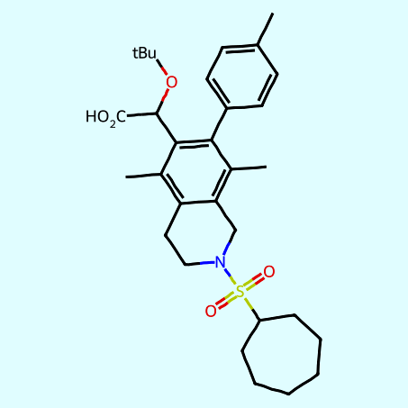 Cc1ccc(-c2c(C)c3c(c(C)c2C(OC(C)(C)C)C(=O)O)CCN(S(=O)(=O)C2CCCCCC2)C3)cc1